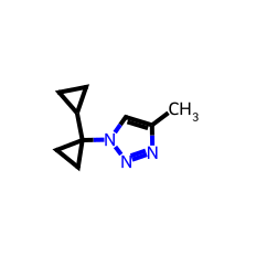 Cc1cn(C2(C3CC3)CC2)nn1